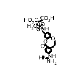 CN([C@@H](CC(=O)O)C(=O)O)S(=O)(=O)NCc1ccc2c(c1)OC(=O)c1ccc(NC(=N)N)cc1CCCO2